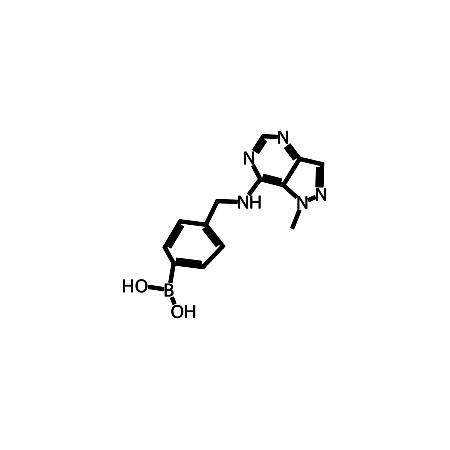 Cn1ncc2ncnc(NCc3ccc(B(O)O)cc3)c21